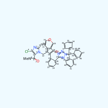 CCCc1nc(Cl)c(C(=O)NC)n1Cc1c2ccocc-2c(Br)c1-c1ccccc1-c1nnn(C(c2ccccc2)(c2ccccc2)c2ccccc2)n1